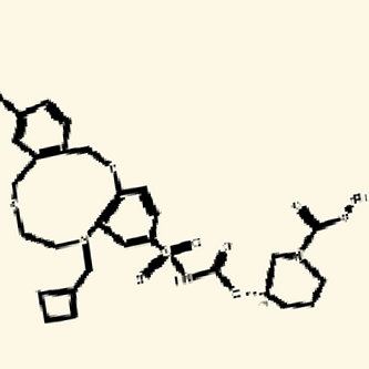 CC(C)(C)OC(=O)N1CCC[C@H](OC(=O)NS(=O)(=O)c2ccc3c(c2)N(CC2CCC2)CCCCc2cc(Cl)ccc2CO3)C1